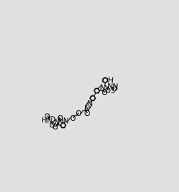 O=C1CCC(N2C(=O)c3cccc(NCCOCCOCCC(=O)N4CCN(c5ccc(-c6ccc7c(c6)C(=O)N(C(C(=O)Nc6nccs6)c6ccccc6)C7)cc5)CC4)c3C2=O)C(=O)N1